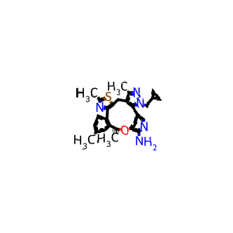 Cc1ccc2c(c1)[C@@H](C)Oc1cc(cnc1N)-c1c(c(C)nn1CC1CC1)Cc1sc(C)nc1-2